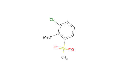 COc1c(Cl)[c]ccc1S(C)(=O)=O